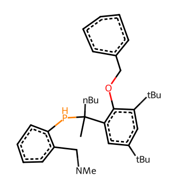 CCCCC(C)(Pc1ccccc1CNC)c1cc(C(C)(C)C)cc(C(C)(C)C)c1OCc1ccccc1